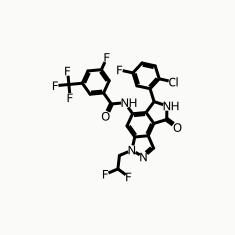 O=C(Nc1cc2c(cnn2CC(F)F)c2c1C(c1cc(F)ccc1Cl)NC2=O)c1cc(F)cc(C(F)(F)F)c1